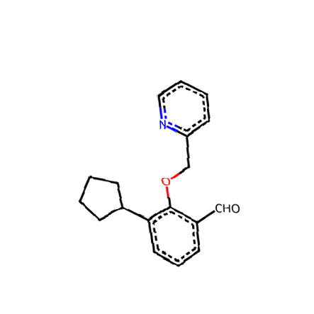 O=Cc1cccc(C2CCCC2)c1OCc1ccccn1